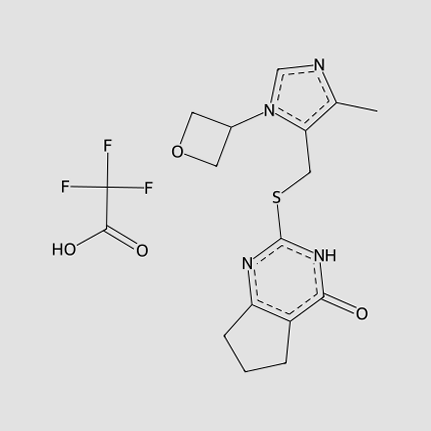 Cc1ncn(C2COC2)c1CSc1nc2c(c(=O)[nH]1)CCC2.O=C(O)C(F)(F)F